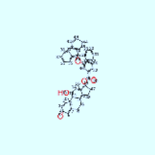 CC12C=CC(=O)C=C1CCC1C2C(O)CC2(C)C(OC(=O)c3cccc(OC(c4ccccc4)(c4ccccc4)c4ccccc4)c3)CCC12